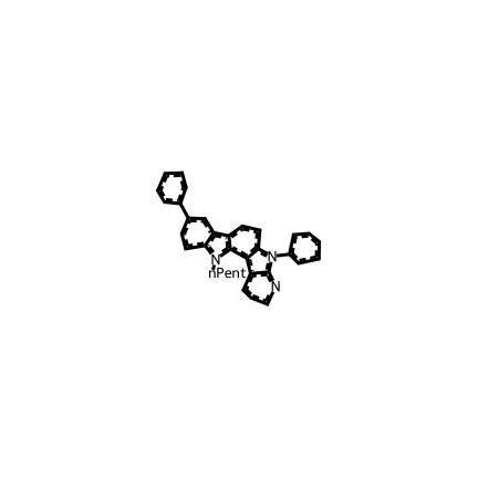 CCCCCn1c2ccc(-c3ccccc3)cc2c2ccc3c(c4cccnc4n3-c3ccccc3)c21